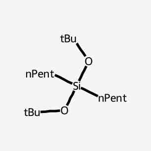 CCCCC[Si](CCCCC)(OC(C)(C)C)OC(C)(C)C